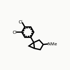 CNC1CC2CC2(c2ccc(Cl)c(Cl)c2)C1